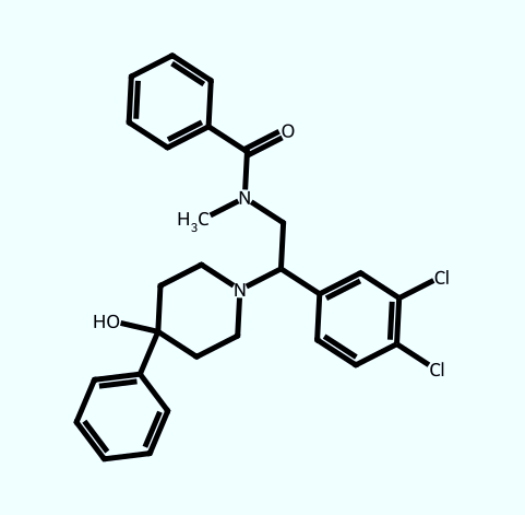 CN(CC(c1ccc(Cl)c(Cl)c1)N1CCC(O)(c2ccccc2)CC1)C(=O)c1ccccc1